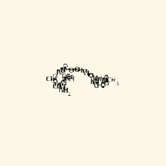 CCNC(=O)c1cc2c(-c3cc(OCCN4CCN(C(=O)CCOCCOCCN5CCN(c6ccc(Nc7ncc8ccc(-c9cccc(NS(C)(=O)=O)c9)n8n7)cc6)CC5)CC4)c(Cl)cc3Cl)nc(N)nc2s1